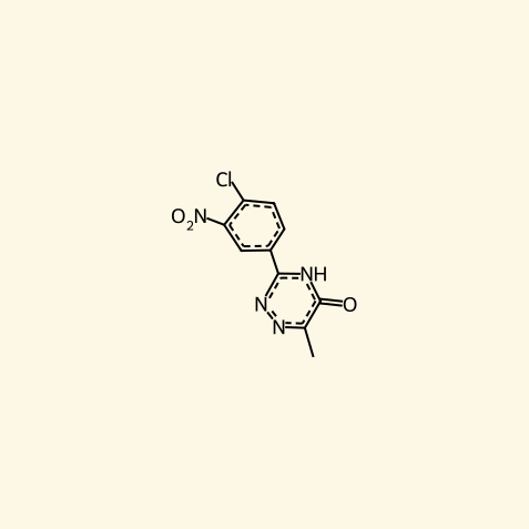 Cc1nnc(-c2ccc(Cl)c([N+](=O)[O-])c2)[nH]c1=O